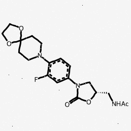 CC(=O)NC[C@H]1CN(c2ccc(N3CCC4(CC3)OCCO4)c(F)c2)C(=O)O1